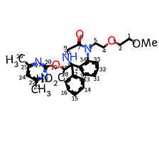 COCCOCCN1C(=O)CNC(c2ccccc2)(C(Oc2nc(C)cc(C)n2)C(=O)O)c2ccccc21